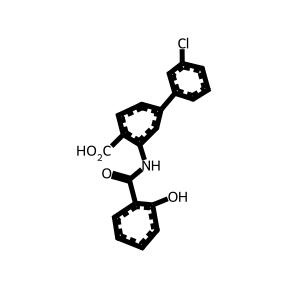 O=C(Nc1cc(-c2cccc(Cl)c2)ccc1C(=O)O)c1ccccc1O